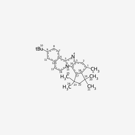 Cc1cc2nc3c4ccc(C(C)(C)C)cc4ccn3c2c2c1C(C)(C)CC2(C)C